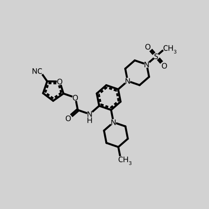 CC1CCN(c2cc(N3CCN(S(C)(=O)=O)CC3)ccc2NC(=O)Oc2ccc(C#N)o2)CC1